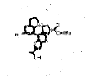 CC(O)c1cc2nccc(-c3cc(C#N)cc4c3N([C@H]3CCN(C(=O)OC(C)(C)C)C3)CCC4)c2s1